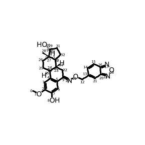 COc1cc2c(cc1O)C(=NOCc1ccc3nonc3c1)C[C@@H]1[C@@H]2CC[C@]2(C)[C@H](O)CC[C@@H]12